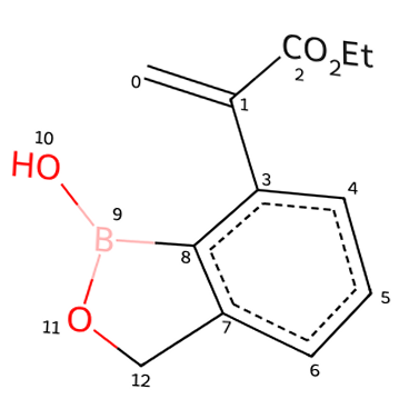 C=C(C(=O)OCC)c1cccc2c1B(O)OC2